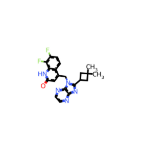 CC1(C)CC(c2nc3nccnc3n2Cc2cc(=O)[nH]c3c(F)c(F)ccc23)C1